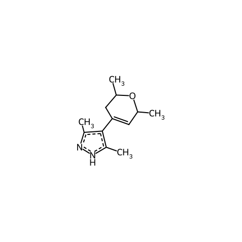 Cc1n[nH]c(C)c1C1=CC(C)OC(C)C1